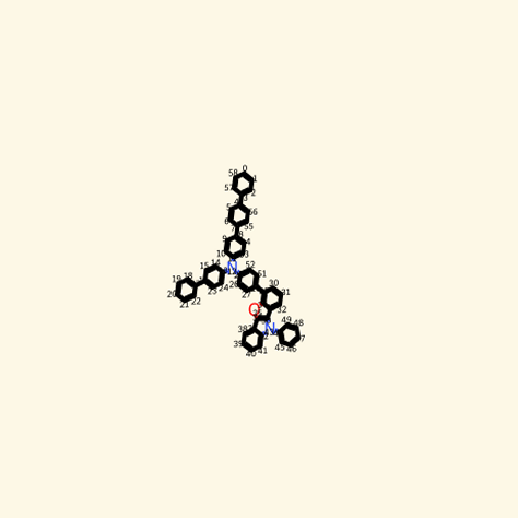 c1ccc(-c2ccc(-c3ccc(N(c4ccc(-c5ccccc5)cc4)c4ccc(-c5cccc6c5oc5c7ccccc7n(-c7ccccc7)c65)cc4)cc3)cc2)cc1